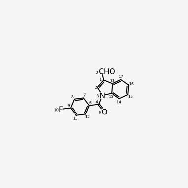 O=Cc1cn(C(=O)c2ccc(F)cc2)c2ccccc12